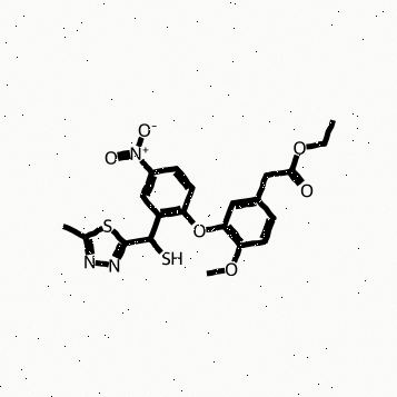 CCOC(=O)Cc1ccc(OC)c(Oc2ccc([N+](=O)[O-])cc2C(S)c2nnc(C)s2)c1